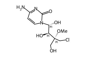 CO[C@@](CO)(CCl)[C@@H](O)[C@@H](O)n1ccc(N)nc1=O